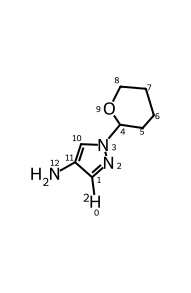 [2H]c1nn(C2CCCCO2)cc1N